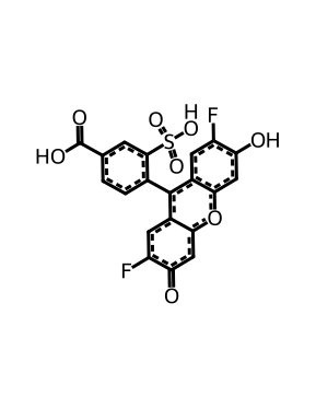 O=C(O)c1ccc(-c2c3cc(F)c(=O)cc-3oc3cc(O)c(F)cc23)c(S(=O)(=O)O)c1